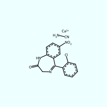 N#CN.O=C1CN=C(c2ccccc2Cl)c2cc([N+](=O)[O-])ccc2N1.[Ca+2]